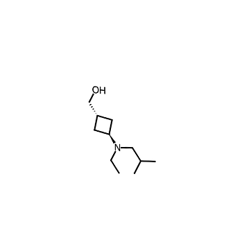 CCN(CC(C)C)[C@H]1C[C@H](CO)C1